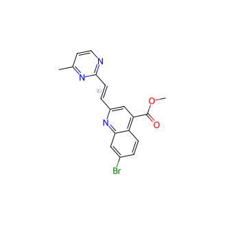 COC(=O)c1cc(/C=C/c2nccc(C)n2)nc2cc(Br)ccc12